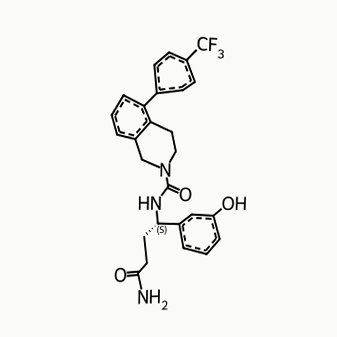 NC(=O)CC[C@H](NC(=O)N1CCc2c(cccc2-c2ccc(C(F)(F)F)cc2)C1)c1cccc(O)c1